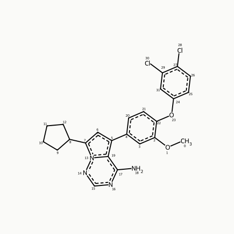 COc1cc(-c2[c]c(C3CCCC3)n3ncnc(N)c23)ccc1Oc1ccc(Cl)c(Cl)c1